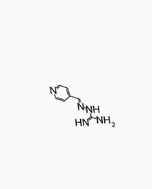 N=C(N)N/N=C/c1ccncc1